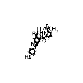 CC(C)(F)c1cccc(C(=O)Nc2cc3cn([C@H]4CC[C@H](S)CC4)nc3cc2C(F)F)n1